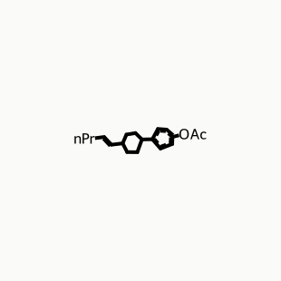 CCCC=CC1CCC(c2ccc(OC(C)=O)cc2)CC1